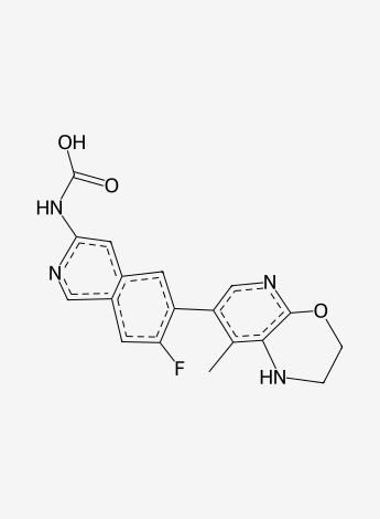 Cc1c(-c2cc3cc(NC(=O)O)ncc3cc2F)cnc2c1NCCO2